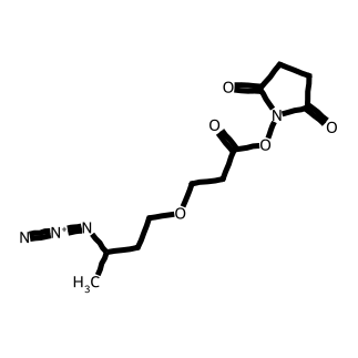 CC(CCOCCC(=O)ON1C(=O)CCC1=O)N=[N+]=[N-]